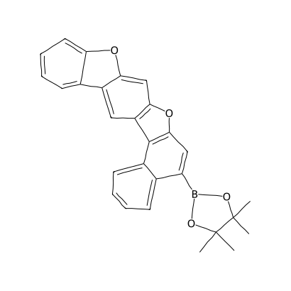 CC1(C)OB(c2cc3oc4cc5oc6ccccc6c5cc4c3c3ccccc23)OC1(C)C